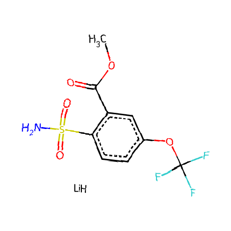 COC(=O)c1cc(OC(F)(F)F)ccc1S(N)(=O)=O.[LiH]